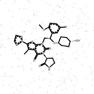 COc1ccc(F)cc1[C@H](Cn1c(=O)n([C@H]2CCNC2=O)c(=O)c2c(C)c(-n3nccn3)sc21)O[C@H]1CC[C@@H](O)CC1